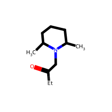 CCC(=O)CN1C(C)CCCC1C